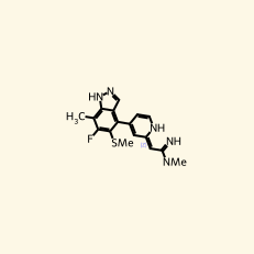 CNC(=N)/C=C1/C=C(c2c(SC)c(F)c(C)c3[nH]ncc23)C=CN1